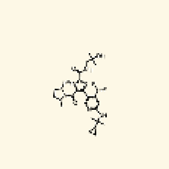 CCCC1CCC(C)N1C(=O)c1nc(C(=O)NCC(C)(C)O)sc1-c1cnc(NC(C)(C)C2CC2)cc1C(F)F